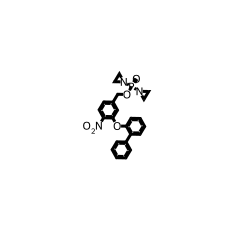 O=[N+]([O-])c1ccc(COP(=O)(N2CC2)N2CC2)cc1Oc1ccccc1-c1ccccc1